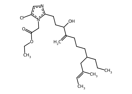 C=C(CCCC(CCC)C/C(C)=C/C)C(O)CCc1ncc(Cl)n1CC(=O)OCC